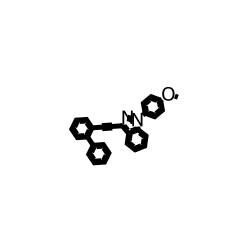 COc1ccc(-n2nc(C#Cc3ccccc3-c3ccccc3)c3ccccc32)cc1